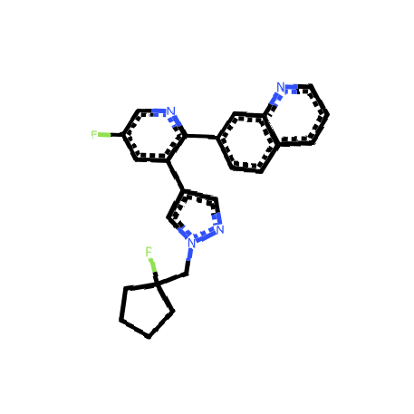 Fc1cnc(-c2ccc3cccnc3c2)c(-c2cnn(CC3(F)CCCC3)c2)c1